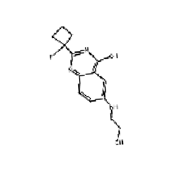 OCCNc1ccc2nc(C3(F)CCC3)nc(O)c2c1